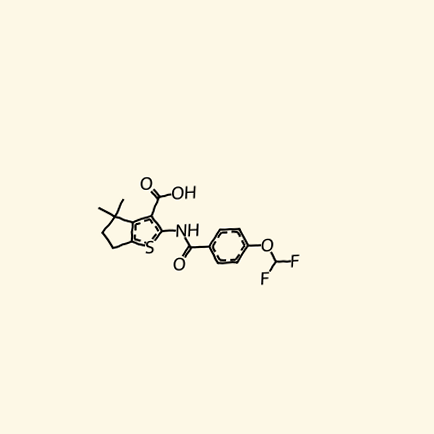 CC1(C)CCc2sc(NC(=O)c3ccc(OC(F)F)cc3)c(C(=O)O)c21